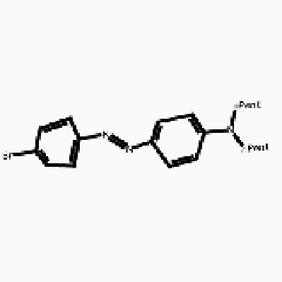 CCCCCN(CCCCC)c1ccc(N=Nc2ccc(Br)cc2)cc1